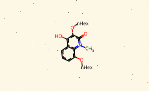 CCCCCCOc1c(O)c2cccc(OCCCCCC)c2n(C)c1=O